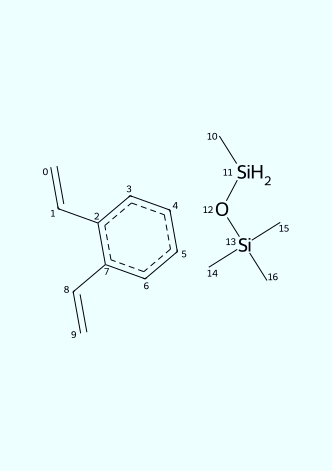 C=Cc1ccccc1C=C.C[SiH2]O[Si](C)(C)C